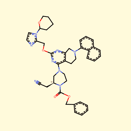 N#CC[C@H]1CN(c2nc(OCc3nccn3C3CCCCO3)nc3c2CCN(c2cccc4ccccc24)C3)CCN1C(=O)OCc1ccccc1